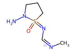 C/N=C\N=S1(=O)CCCN1N